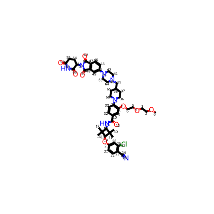 COCCOCCOc1cc(C(=O)NC2C(C)(C)C(Oc3ccc(C#N)c(Cl)c3)C2(C)C)ccc1N1CCC(CN2CCN(c3ccc4c(c3)C(=O)N(C3CCC(=O)NC3=O)C4=O)CC2)CC1